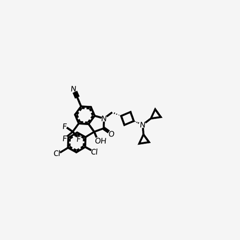 N#Cc1cc2c(c(C(F)(F)F)c1)C(O)(c1ccc(Cl)cc1Cl)C(=O)N2C[C@H]1C[C@@H](N(C2CC2)C2CC2)C1